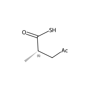 CC(=O)C[C@H](C)C(=O)S